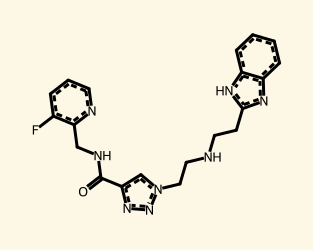 O=C(NCc1ncccc1F)c1cn(CCNCCc2nc3ccccc3[nH]2)nn1